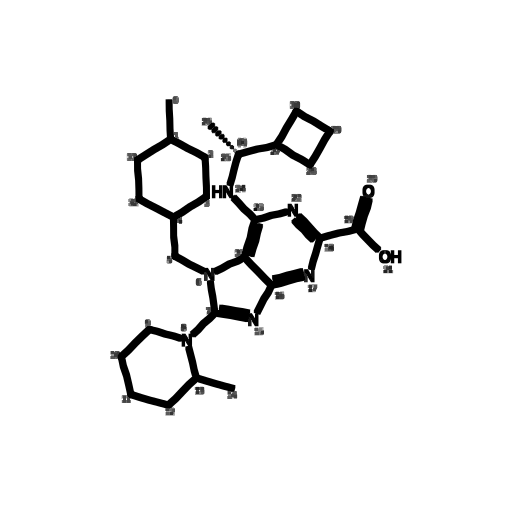 CC1CCC(Cn2c(N3CCCCC3C)nc3nc(C(=O)O)nc(N[C@H](C)C4CCC4)c32)CC1